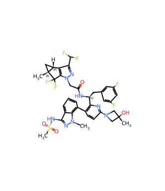 Cn1nc(NS(C)(=O)=O)c2cccc(-c3ccc(N4CC(C)(O)C4)nc3[C@H](Cc3cc(F)cc(F)c3)NC(=O)Cn3nc(C(F)F)c4c3C(F)(F)[C@]3(C)C[C@H]43)c21